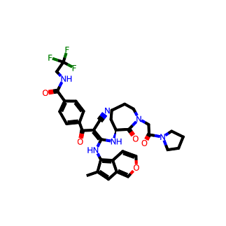 Cc1cc2coccc-2c1NC(N[C@H]1CCCCN(CC(=O)N2CCCC2)C1=O)=C(C#N)C(=O)c1ccc(C(=O)NCC(F)(F)F)cc1